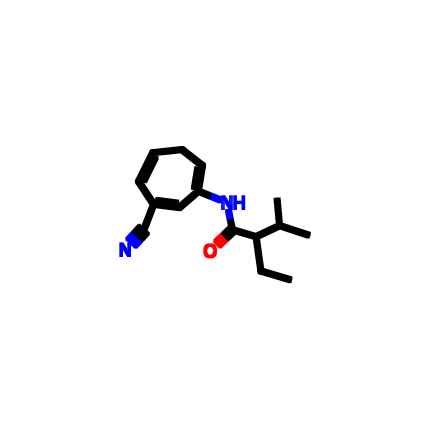 CCC(C(=O)NC1=CCC=CC(C#N)=C1)C(C)C